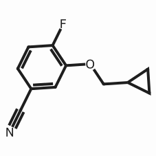 N#Cc1ccc(F)c(OCC2CC2)c1